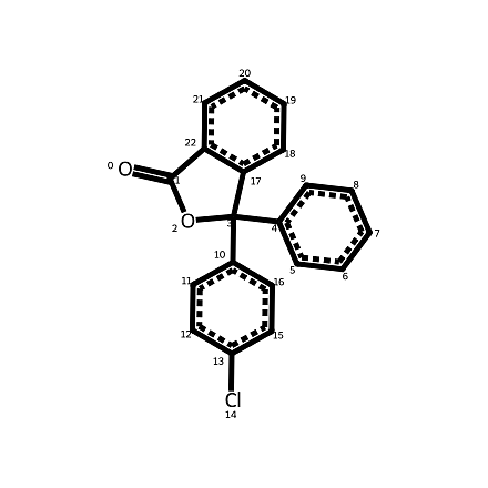 O=C1OC(c2ccccc2)(c2ccc(Cl)cc2)c2ccccc21